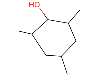 CC1CC(C)C(O)C(C)C1